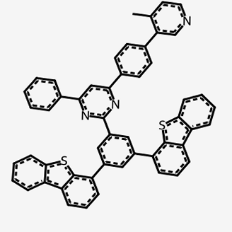 Cc1ccncc1-c1ccc(-c2cc(-c3ccccc3)nc(-c3cc(-c4cccc5c4sc4ccccc45)cc(-c4cccc5c4sc4ccccc45)c3)n2)cc1